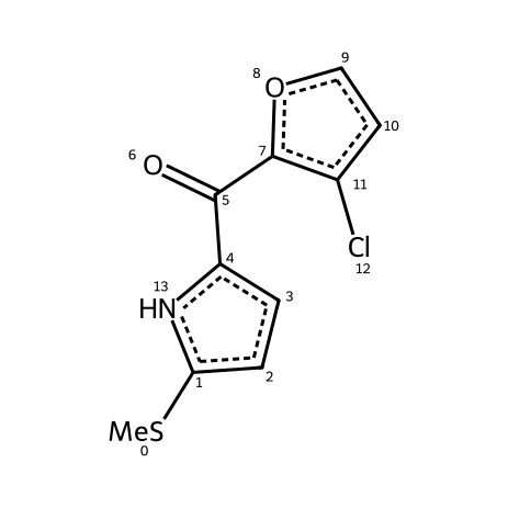 CSc1ccc(C(=O)c2occc2Cl)[nH]1